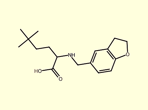 CC(C)(C)CCC(NCc1ccc2c(c1)CCO2)C(=O)O